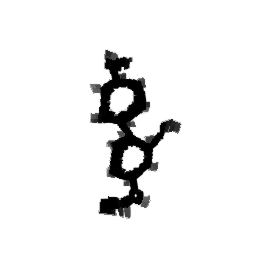 CCCOc1ccc(-c2ccc(CCC)cn2)c(F)c1